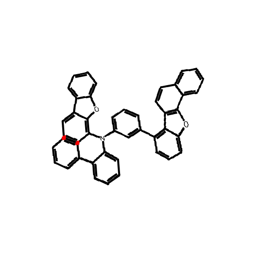 c1ccc(-c2ccccc2N(c2cccc(-c3cccc4oc5c6ccccc6ccc5c34)c2)c2cccc3c2oc2ccccc23)cc1